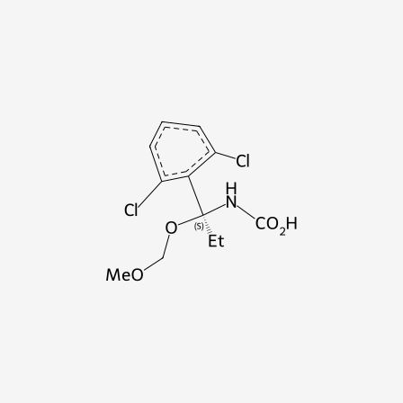 CC[C@](NC(=O)O)(OCOC)c1c(Cl)cccc1Cl